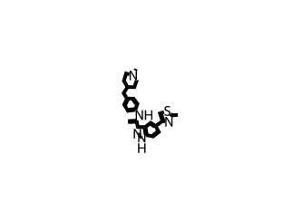 C=C(Nc1ccc(CC2CCN(C)CC2)cc1)c1n[nH]c2ccc(-c3csc(C)n3)cc12